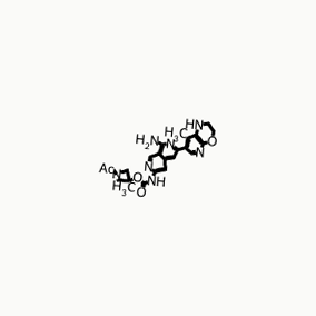 CC(=O)N1CC(C)(OC(=O)Nc2cc3cc(-c4cnc5c(c4C)NCCO5)nc(N)c3cn2)C1